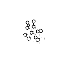 CC1(C)CCC(C)(C)c2cc(N3c4cc5c(cc4B4c6cc7sc8ccccc8c7cc6N(c6cccc7c6oc6ccccc67)c6cc(N7c8ccccc8C8(C)CCCCC78C)cc3c64)C(C)(C)CCC5(C)C)ccc21